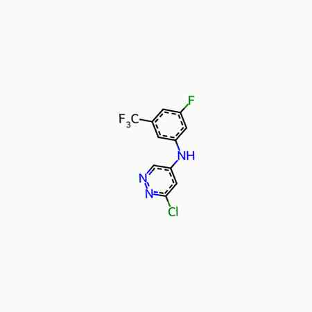 Fc1cc(Nc2cnnc(Cl)c2)cc(C(F)(F)F)c1